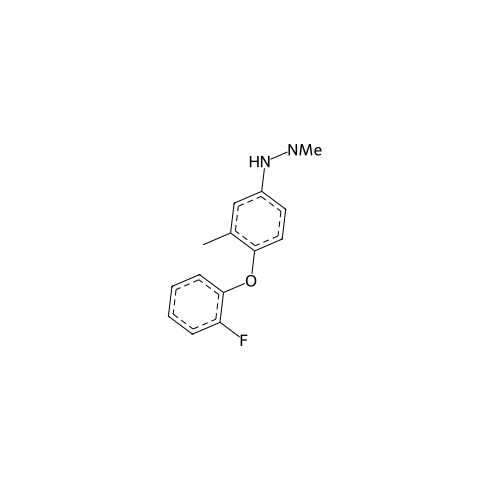 CNNc1ccc(Oc2ccccc2F)c(C)c1